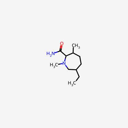 CCC1CCC(C)C(C(N)=O)N(C)C1